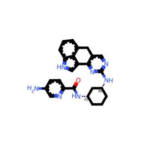 Nc1ccc(C(=O)N[C@H]2CCC[C@@H](Nc3ncc4c(n3)-c3c[nH]c5cccc(c35)C4)C2)nc1